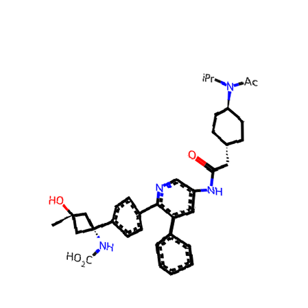 CC(=O)N(C(C)C)[C@H]1CC[C@H](CC(=O)Nc2cnc(-c3ccc([C@]4(NC(=O)O)C[C@@](C)(O)C4)cc3)c(-c3ccccc3)c2)CC1